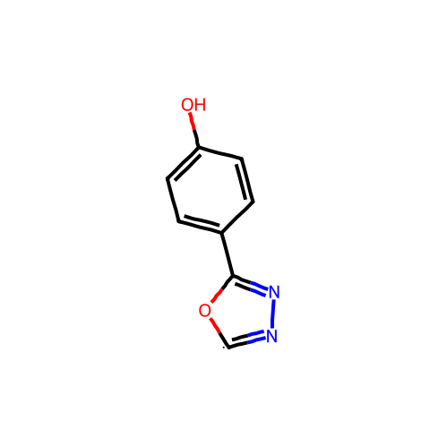 Oc1ccc(-c2nn[c]o2)cc1